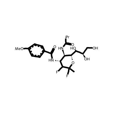 COc1ccc(C(=O)N[C@H]2C(F)C(C)(F)O[C@@H]([C@H](O)[C@H](O)CO)[C@@H]2NC(=O)C(C)C)cc1